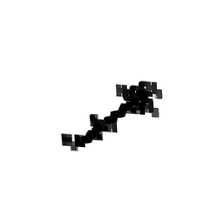 CC(C)(C)OC(=O)NCCCCCNC(=S)N=CCN